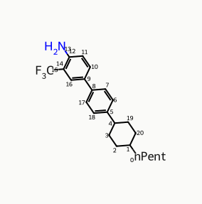 CCCCCC1CCC(c2ccc(-c3ccc(N)c(C(F)(F)F)c3)cc2)CC1